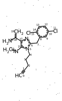 C#CCCCn1c(Cc2cc(Cl)ccc2Cl)nc(C(=C)N)c1N=C